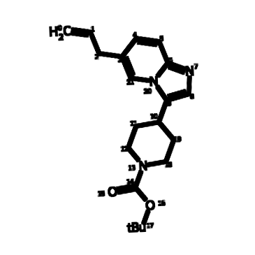 C=CCc1ccc2ncc(C3CCN(C(=O)OC(C)(C)C)CC3)n2c1